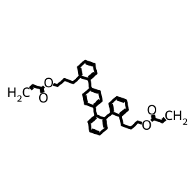 C=CC(=O)OCCCc1ccccc1-c1ccc(-c2ccccc2-c2ccccc2CCCOC(=O)C=C)cc1